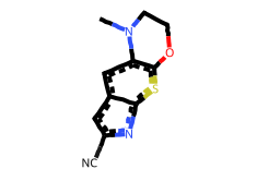 CN1CCOc2sc3nc(C#N)cc-3cc21